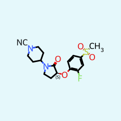 CS(=O)(=O)c1ccc(O[C@H]2CCN(C3CCN(C#N)CC3)C2=O)c(F)c1